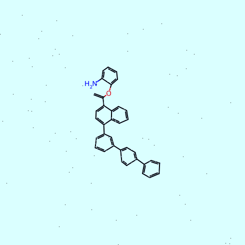 C=C(Oc1ccccc1N)c1ccc(-c2cccc(-c3ccc(-c4ccccc4)cc3)c2)c2ccccc12